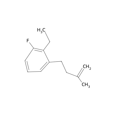 C=C(C)CCc1cccc(F)c1CC